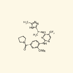 COc1cc(C(=O)N2CCCC2)ccc1Nc1ncc(C(F)(F)F)c(NC(C)c2nnc(C)[nH]2)n1